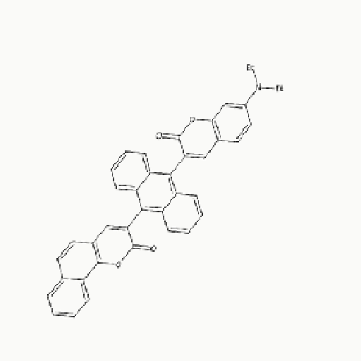 CCN(CC)c1ccc2cc(-c3c4ccccc4c(-c4cc5ccc6ccccc6c5oc4=O)c4ccccc34)c(=O)oc2c1